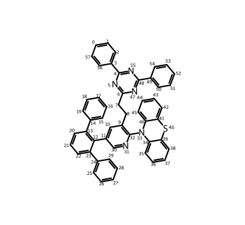 c1ccc(-c2nc(CCc3cc(-c4c(-c5ccccc5)cccc4-c4ccccc4)cnc3N3c4ccccc4Sc4ccccc43)nc(-c3ccccc3)n2)cc1